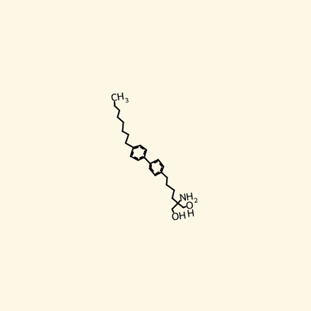 CCCCCCCCc1ccc(-c2ccc(CCCCC(N)(CO)CO)cc2)cc1